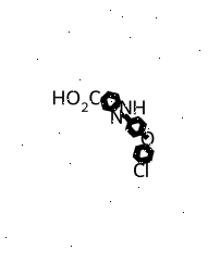 O=C(O)c1ccc2[nH]c(-c3ccc(Oc4ccc(Cl)cc4)cc3)nc2c1